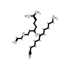 CC(C)=CCCC(C)CCOCC=O.CCCCCCCCCCCC#N